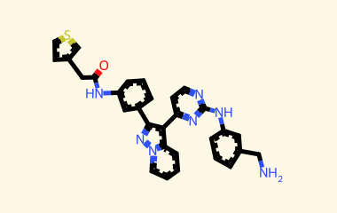 NCc1cccc(Nc2nccc(-c3c(-c4cccc(NC(=O)Cc5ccsc5)c4)nn4ccccc34)n2)c1